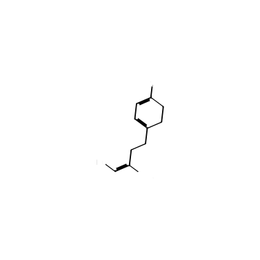 CC/C=C(/C)CCC1=CC=C(C(F)(F)F)CC1